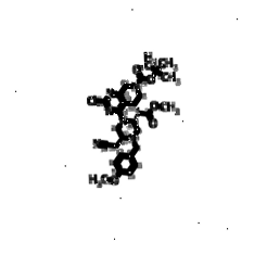 COC(=O)C[C@@H]1CN(Cc2ccc(OC)cc2)[C@@H](CC#N)CN1c1nc(Cl)nc2c1CCN(C(=O)OC(C)(C)C)C2